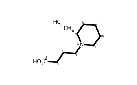 C.Cl.O=C(O)CCCN1CCCCC1